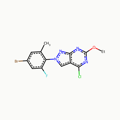 CCOc1nc(Cl)c2cn(-c3c(C)cc(Br)cc3F)nc2n1